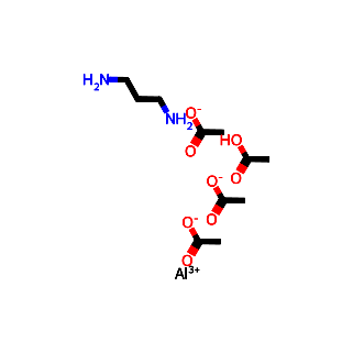 CC(=O)O.CC(=O)[O-].CC(=O)[O-].CC(=O)[O-].NCCCN.[Al+3]